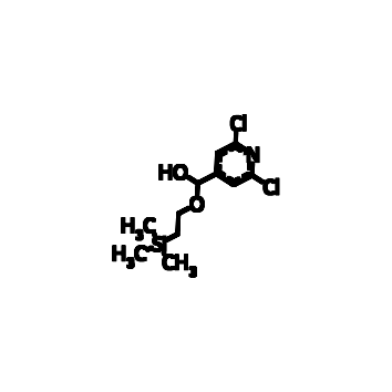 C[Si](C)(C)CCOC(O)c1cc(Cl)nc(Cl)c1